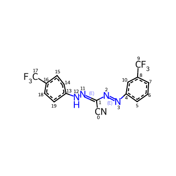 N#CC(/N=N/c1cccc(C(F)(F)F)c1)=N\Nc1ccc(C(F)(F)F)cc1